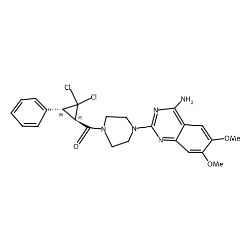 COc1cc2nc(N3CCN(C(=O)[C@H]4[C@H](c5ccccc5)C4(Cl)Cl)CC3)nc(N)c2cc1OC